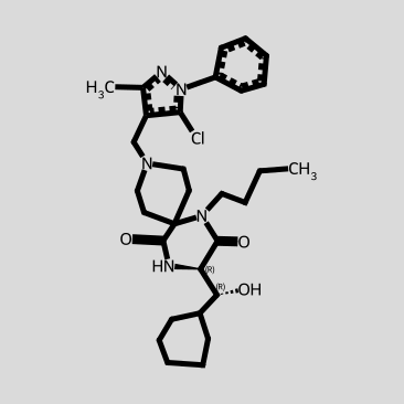 CCCCN1C(=O)[C@@H]([C@H](O)C2CCCCC2)NC(=O)C12CCN(Cc1c(C)nn(-c3ccccc3)c1Cl)CC2